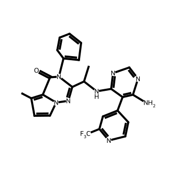 Cc1ccn2nc(C(C)Nc3ncnc(N)c3-c3ccnc(C(F)(F)F)c3)n(-c3ccccc3)c(=O)c12